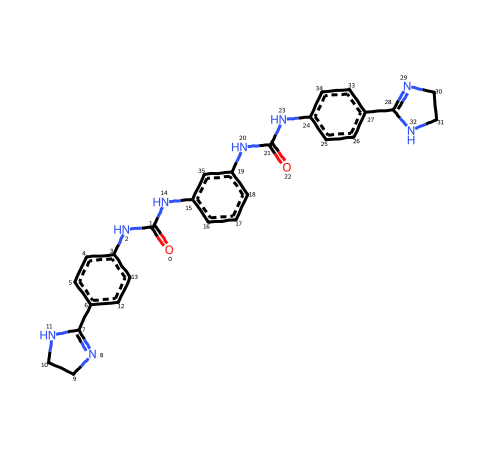 O=C(Nc1ccc(C2=NCCN2)cc1)Nc1cccc(NC(=O)Nc2ccc(C3=NCCN3)cc2)c1